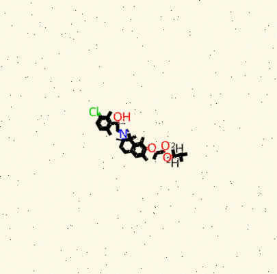 [2H]C(C)(C)C([2H])(C)OC(=O)C(C)Oc1c(C)cc2c(c1C)C(C)(C)[C@@](C)(N(C)C[C@](C)(O)c1c(C)ccc(Cl)c1C)CC2